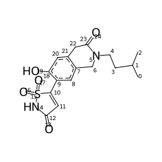 CC(C)CCN1Cc2cc(C3=CC(=O)NS3(=O)=O)c(O)cc2CC1=O